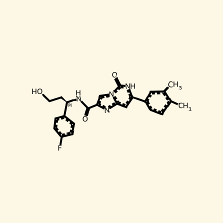 Cc1ccc(-c2cc3nc(C(=O)N[C@H](CCO)c4ccc(F)cc4)cn3c(=O)[nH]2)cc1C